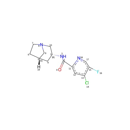 O=C(N[C@@H]1C[C@@H]2CCN(C2)C1)c1cc(Cl)c(F)cn1